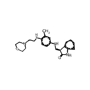 Cc1cc(N/C=C2/C(=O)Nc3ccccc32)ccc1NCCN1CCOCC1